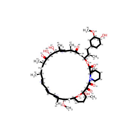 CO[C@H]1C[C@@H]2CC[C@@H](C)[C@@](O)(O2)C(=O)C(=O)N2CCCC[C@H]2C(=O)O[C@H]([C@H](C)C[C@@H]2CC[C@@H](O)[C@H](OC)C2)CC(=O)[C@H](C)/C=C(\C)[C@@H](O)[C@@H](O)C(=O)[C@H](C)C[C@H](C)/C=C/C=C/C=C/1C